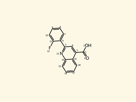 O=C(O)c1cc(-c2ccccc2F)nc2ccccc12